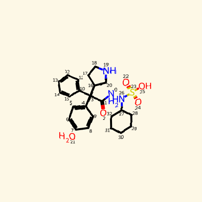 NC(=O)C(c1ccccc1)(c1ccccc1)C1CCNC1.O.O=S(=O)(O)NC1CCCCC1